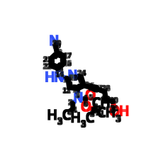 CCCN(C(=O)OC(C)(C)C)c1cc(Nc2ccc(C#N)cc2)ncc1C#CCCCO